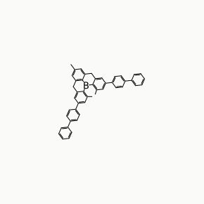 Cc1cc2c3c(c1)Cc1cc(-c4ccc(-c5ccccc5)cc4)cc(C)c1B3c1c(C)cc(-c3ccc(-c4ccccc4)cc3)cc1C2